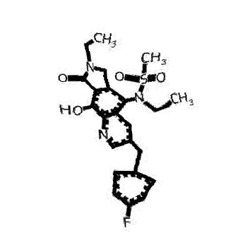 CCN1Cc2c(c(O)c3ncc(Cc4ccc(F)cc4)cc3c2N(CC)S(C)(=O)=O)C1=O